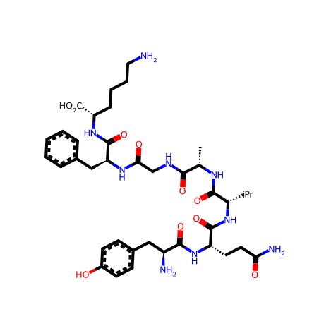 CC(C)[C@H](NC(=O)[C@H](CCC(N)=O)NC(=O)[C@@H](N)Cc1ccc(O)cc1)C(=O)N[C@@H](C)C(=O)NCC(=O)N[C@@H](Cc1ccccc1)C(=O)N[C@@H](CCCCN)C(=O)O